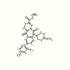 CN1CCC(N2C(=O)C3CN(C(=O)CC(C)(C)C)CCN3C(=O)c3cc(-c4ccc(Cl)cc4F)ccc32)CC1